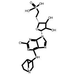 O=P(O)(O)CC[C@H]1O[C@@H](n2cnc3c(NC4CN5CCC4CC5)nc(Cl)nc32)C(O)C1O